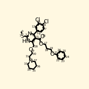 CSC1=NC(c2ccc(Cl)c(Cl)c2)C(C(=O)OCCCOc2ccccc2)=C(COCCN2CCCCC2)N1